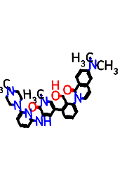 CN1CCN(c2cccc(Nc3cc(-c4cccc(-n5ccc6cc(N(C)C)ccc6c5=O)c4CO)cn(C)c3=O)n2)CC1